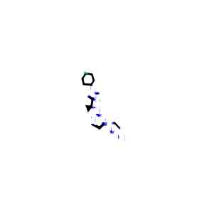 CC(C)C1CN(C)C(=O)N1c1ccnc(NC2(c3cn(C4CCC(F)(F)CC4)cn3)CC2)n1